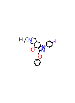 CN1CCC2Cc3c(c(COc4ccccc4)nn3-c3ccc(I)cc3)C(=O)C2C1